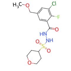 COCc1cc(Cl)c(F)c(C(=O)NNS(=O)(=O)C2CCOCC2)c1